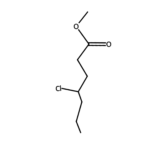 CCCC(Cl)CCC(=O)OC